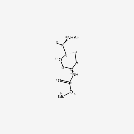 CC(=O)N[C@H](C)[C@@H]1CC[C@@H](NC(=O)OC(C)(C)C)CO1